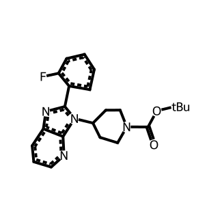 CC(C)(C)OC(=O)N1CCC(n2c(-c3ccccc3F)nc3cccnc32)CC1